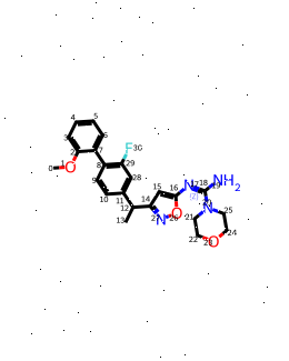 COc1ccccc1-c1ccc(C(C)c2cc(/N=C(/N)N3CCOCC3)on2)cc1F